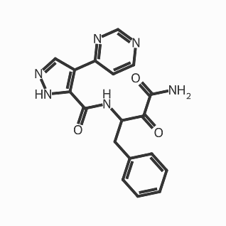 NC(=O)C(=O)C(Cc1ccccc1)NC(=O)c1[nH]ncc1-c1ccncn1